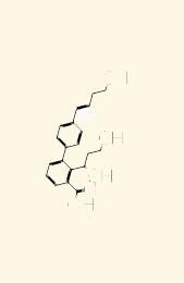 CCC/C=C/c1ccc(-c2cccc(C(=O)O)c2C(C)CCC)cc1